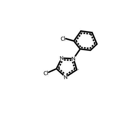 Clc1n[c]n(-c2ccccc2Cl)n1